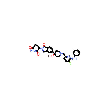 O=C1CCC(N2Cc3cc(C4(O)CCN(Cc5ccc(F)c(Nc6ccccc6)n5)CC4)ccc3C2=O)C(=O)N1